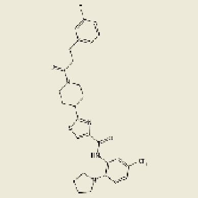 O=C(Nc1cc(C(F)(F)F)ccc1N1CCCC1)c1csc(C2CCN(C(=O)CCc3cccc(F)c3)CC2)n1